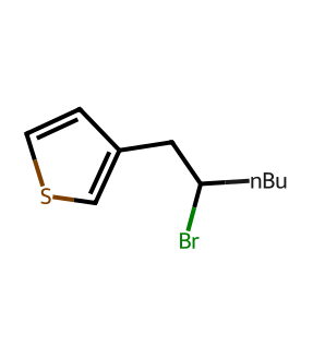 CCCCC(Br)Cc1ccsc1